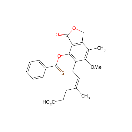 COc1c(C)c2c(c(OC(=S)c3ccccc3)c1CC=C(C)CCC(=O)O)C(=O)OC2